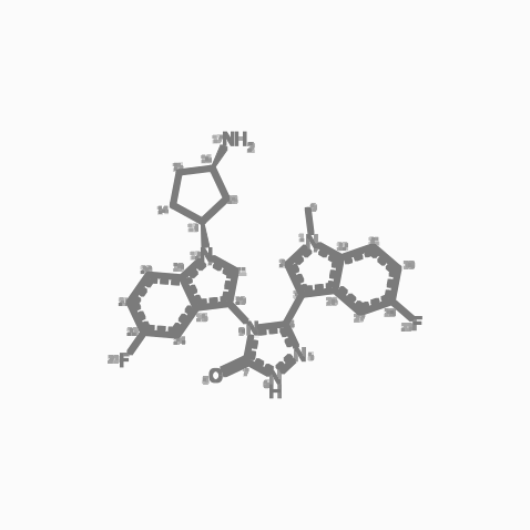 Cn1cc(-c2n[nH]c(=O)n2-c2cn([C@H]3CC[C@@H](N)C3)c3ccc(F)cc23)c2cc(F)ccc21